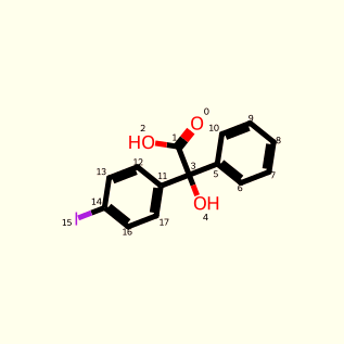 O=C(O)C(O)(c1ccccc1)c1ccc(I)cc1